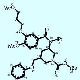 COCCCOc1cc(C(=O)N(C(C)C)C2CC(COc3ccccc3)CN(C(=O)OC(C)(C)C)C2)ccc1OC